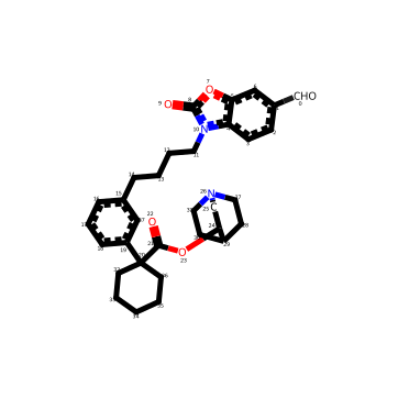 O=Cc1ccc2c(c1)oc(=O)n2CCCCc1cccc(C2(C(=O)OC3CN4CCC3CC4)CCCCC2)c1